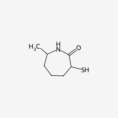 CC1CCCC(S)C(=O)N1